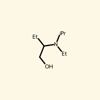 CCC(CO)N(CC)C(C)C